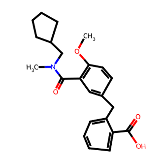 COc1ccc(Cc2ccccc2C(=O)O)cc1C(=O)N(C)CC1CCCC1